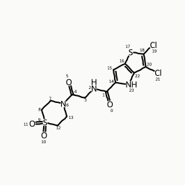 O=C(NCC(=O)N1CCS(=O)(=O)CC1)c1cc2sc(Cl)c(Cl)c2[nH]1